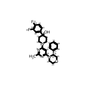 Cc1nc(N2CCC(O)(c3ccc(F)c(F)c3)CC2)cc(N2CCOC[C@@H]2c2ccccc2)n1